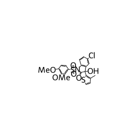 COc1ccc(S(=O)(=O)N2C(=O)C(O)(c3sccc3C)c3cc(Cl)ccc32)c(OC)c1